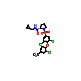 O=C(NCC1CC1)[C@@H]1CCCN1S(=O)(=O)c1cc(Cl)c(Oc2ccc([N+](=O)[O-])cc2Cl)c(Cl)c1